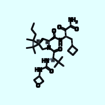 CCCC1(C)C(C)(C)[C@]12C[C@@H](C(=O)NC(CC1CCC1)C(=O)C(N)=O)N(C(=O)[C@@H](NC(=O)NC1COC1)C(C)(C)C)C2